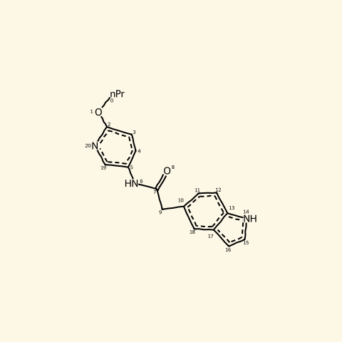 CCCOc1ccc(NC(=O)Cc2ccc3[nH]ccc3c2)cn1